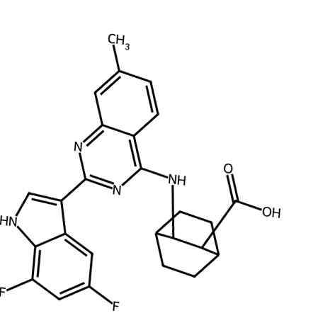 Cc1ccc2c(NC3C4CCC(CC4)C3C(=O)O)nc(-c3c[nH]c4c(F)cc(F)cc34)nc2c1